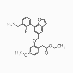 CCOC(=O)Cc1ccc(OC)cc1OCc1cc(-c2cccc(CN)c2F)c2occc2c1